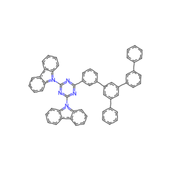 c1ccc(-c2cccc(-c3cc(-c4ccccc4)cc(-c4cccc(-c5nc(-n6c7ccccc7c7ccccc76)nc(-n6c7ccccc7c7ccccc76)n5)c4)c3)c2)cc1